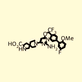 COc1ccc(F)cc1-c1ccc(C(Oc2cc(N3CCC4(CC3)CN[C@H](C(=O)O)C4)nc(N)n2)C(F)(F)F)cc1